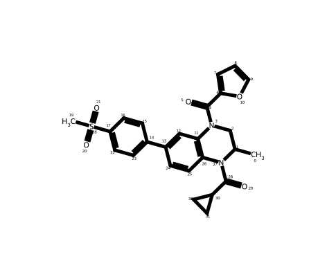 CC1CN(C(=O)c2ccco2)c2cc(-c3ccc(S(C)(=O)=O)cc3)ccc2N1C(=O)C1CC1